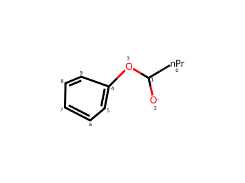 CCCC([O])Oc1ccccc1